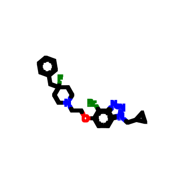 FC1(Cc2ccccc2)CCN(CCOc2ccc3c(nnn3CC3CC3)c2Br)CC1